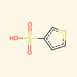 O=S(=O)(O)c1ccsc1